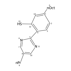 CCCCCCCCc1ccc(-c2ncc(CCC)cn2)c(S)c1